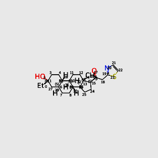 CC[C@@]1(O)CC[C@H]2[C@@H](CC[C@@H]3[C@@H]2CC[C@]2(C)[C@@H](C(=O)Cc4nccs4)CC[C@@H]32)C1